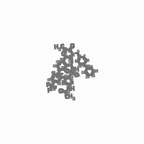 COC(=O)[C@H](Cc1ccc(-c2ccccc2)cc1)N(CCNS(=O)(=O)c1sc(NC(C)=O)nc1C)C(=O)c1ccc(-c2ccc(C(F)(F)F)cc2)cc1